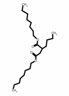 CCCCCCCCOC(=O)CC(CCCC)C(=O)OCCCCCCCC